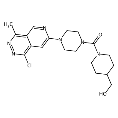 Cc1nnc(Cl)c2cc(N3CCN(C(=O)N4CCC(CO)CC4)CC3)ncc12